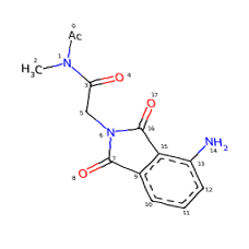 CC(=O)N(C)C(=O)CN1C(=O)c2cccc(N)c2C1=O